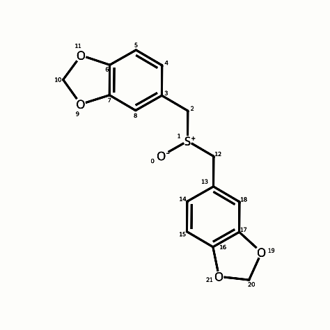 [O-][S+](Cc1ccc2c(c1)OCO2)Cc1ccc2c(c1)OCO2